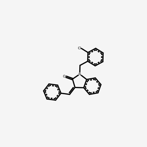 O=C1/C(=C\c2ccccc2)c2ccccc2N1Cc1ccccc1Cl